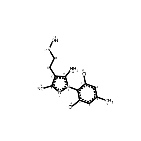 Cc1cc(Cl)c(-n2nc(C#N)c(CCSO)c2N)c(Cl)c1